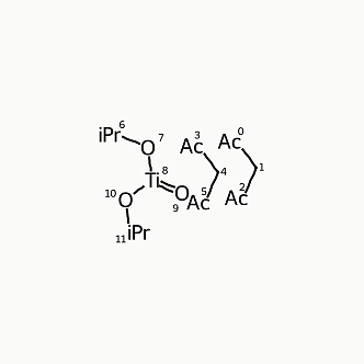 CC(=O)CC(C)=O.CC(=O)CC(C)=O.CC(C)[O][Ti](=[O])[O]C(C)C